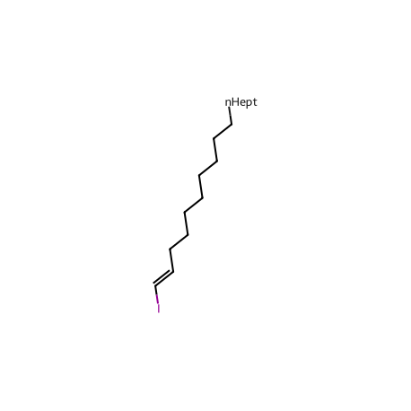 CCCCCCCCCCCCCCC/C=C/I